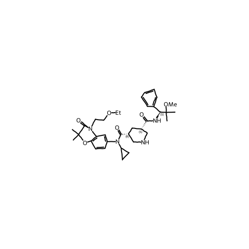 CCOCCN1C(=O)C(C)(C)Oc2ccc(N(C(=O)[C@H]3CNC[C@@H](C(=O)N[C@@H](c4ccccc4)C(C)(C)OC)C3)C3CC3)cc21